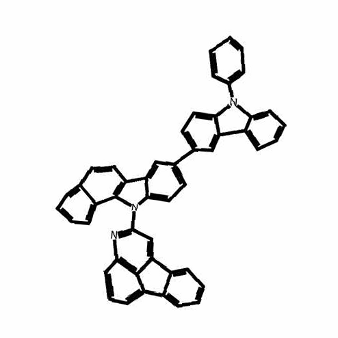 c1ccc(-n2c3ccccc3c3cc(-c4ccc5c(c4)c4ccc6ccccc6c4n5-c4cc5c6c(cccc6n4)-c4ccccc4-5)ccc32)cc1